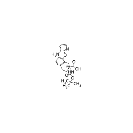 CC(C)(C)OC(=O)N[C@]1(C(=O)O)CCc2cccc(Oc3ncccc3N)c2C1